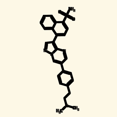 CN(C)CCc1ccc(-c2cnc3c(-c4ccc(S(N)(=O)=O)c5ccccc45)cnn3c2)cc1